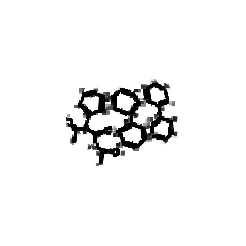 CC(=O)OC(=O)C(C(C)=O)c1ccccc1.c1ccc(-c2ccccc2)cc1.c1ccc(-c2ccccc2)cc1